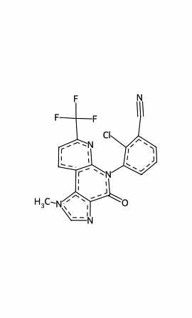 Cn1cnc2c(=O)n(-c3cccc(C#N)c3Cl)c3nc(C(F)(F)F)ccc3c21